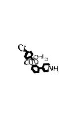 CC1(c2ccc(Cl)cc2Cl)Oc2cccc(C3=CCNCC3)c2O1